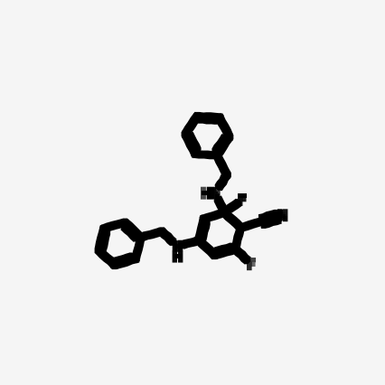 N#CC1C(F)=CC(NCc2ccccc2)=CC1(F)NCc1ccccc1